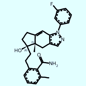 Cc1cccc(CC[C@]2(O)CCC3=Cc4c(cnn4-c4cccc(F)c4)C[C@@]32C)c1C(N)=O